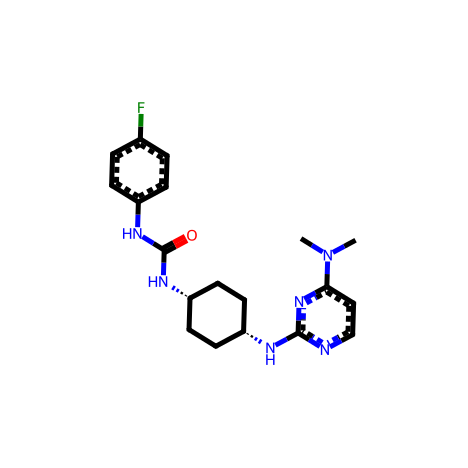 CN(C)c1ccnc(N[C@H]2CC[C@@H](NC(=O)Nc3ccc(F)cc3)CC2)n1